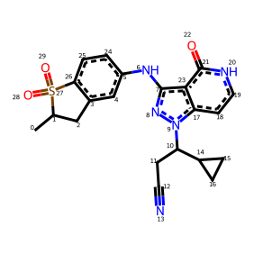 CC1Cc2cc(Nc3nn(C(CC#N)C4CC4)c4cc[nH]c(=O)c34)ccc2S1(=O)=O